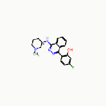 CN1CCC[C@@H](Nc2nnc(-c3ccc(F)cc3O)c3ccccc23)C1